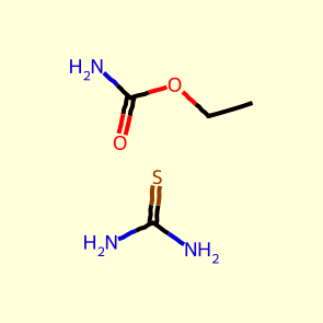 CCOC(N)=O.NC(N)=S